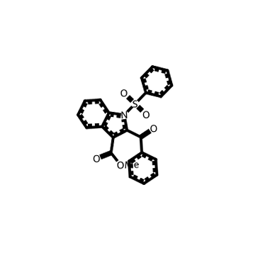 COC(=O)c1c(C(=O)c2ccccc2)n(S(=O)(=O)c2ccccc2)c2ccccc12